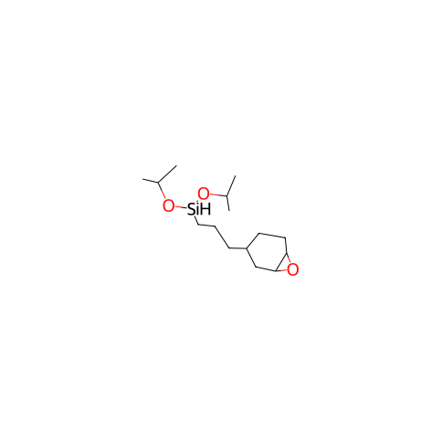 CC(C)O[SiH](CCCC1CCC2OC2C1)OC(C)C